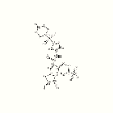 CN1CCN(S(=O)(=O)c2cnc(NC(=O)/C(=C/[C@H]3C[C@@H](F)[C@@H](F)C3)c3ccc(S(C)(=O)=O)cc3)s2)CC1